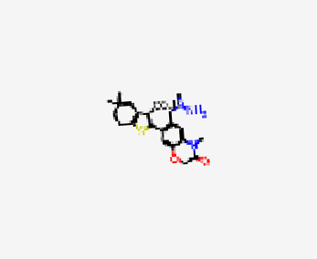 CN(N)Cc1cc2c(cc1-c1sc3c(c1C(=O)O)CC(C)(C)CC3)OCC(=O)N2C